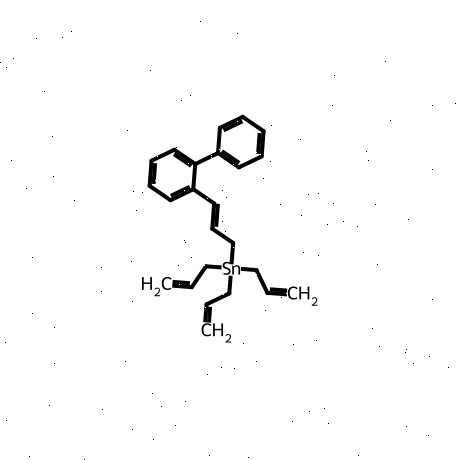 C=C[CH2][Sn]([CH2]C=C)([CH2]C=C)[CH2]C=Cc1ccccc1-c1ccccc1